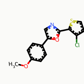 COc1ccc(-c2cnc(-c3sccc3Cl)o2)cc1